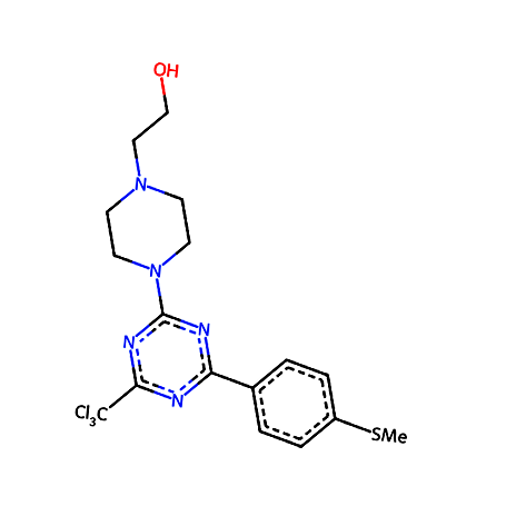 CSc1ccc(-c2nc(N3CCN(CCO)CC3)nc(C(Cl)(Cl)Cl)n2)cc1